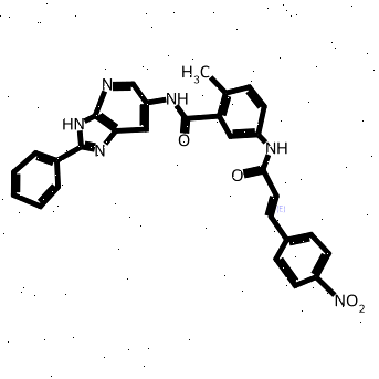 Cc1ccc(NC(=O)/C=C/c2ccc([N+](=O)[O-])cc2)cc1C(=O)Nc1cnc2[nH]c(-c3ccccc3)nc2c1